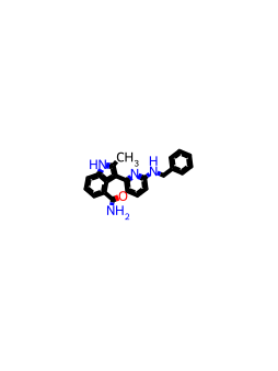 Cc1[nH]c2cccc(C(N)=O)c2c1-c1cccc(NCc2ccccc2)n1